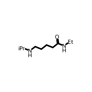 CCNC(=O)CCCCNC(C)C